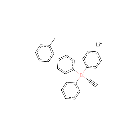 C#C[B-](c1ccccc1)(c1ccccc1)c1ccccc1.Cc1ccccc1.[Li+]